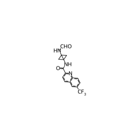 O=CNC12CC1(NC(=O)c1ccc3cc(C(F)(F)F)ccc3n1)C2